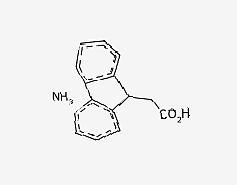 N.O=C(O)CC1c2ccccc2-c2ccccc21